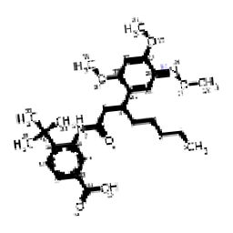 CCCCCC(CC(=O)Nc1cc(C(=O)O)ccc1C(C)(C)C)C1=C/C(=N\OC)C(OC)=CC1OC